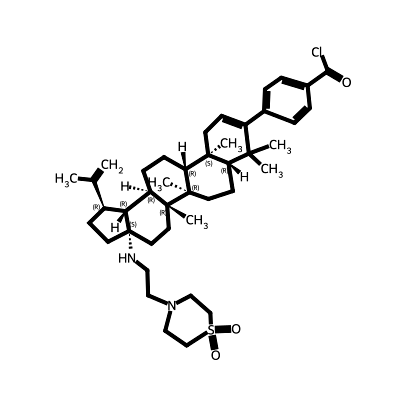 C=C(C)[C@@H]1CC[C@]2(NCCN3CCS(=O)(=O)CC3)CC[C@]3(C)[C@H](CC[C@@H]4[C@@]5(C)CC=C(c6ccc(C(=O)Cl)cc6)C(C)(C)[C@@H]5CC[C@]43C)[C@@H]12